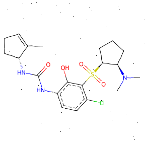 CC1=CCC[C@H]1NC(=O)Nc1ccc(Cl)c(S(=O)(=O)[C@H]2CCC[C@H]2N(C)C)c1O